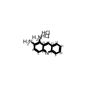 Cl.Cl.Nc1ccc2nc3ccccc3cc2c1N